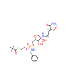 CC(C)(C)C(=O)SCCOP(=O)(NCc1ccccc1)OCC1OCC(O)(N/C=C\C=C(/C=O)C(N)=O)C1O